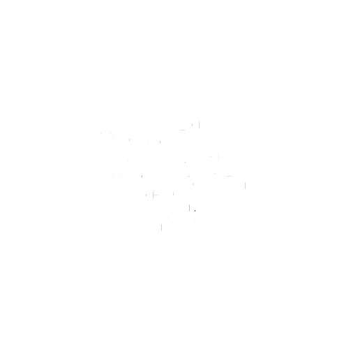 CCCOC(=O)C(C)=C[Si](O[SiH](C)C)(O[SiH](C)C)O[SiH](C)C